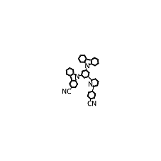 N#Cc1ccc(-c2cccc(-c3cc(-n4c5ccccc5c5ccccc54)cc(-n4c5ccccc5c5cc(C#N)ccc54)c3)n2)cc1